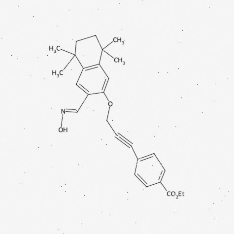 CCOC(=O)c1ccc(C#CCOc2cc3c(cc2C=NO)C(C)(C)CCC3(C)C)cc1